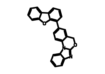 c1ccc2c(c1)nc1n2-c2ccc(-c3cccc4c3oc3ccccc34)cc2CO1